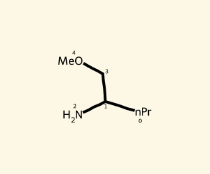 CCCC(N)COC